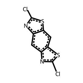 Clc1nc2cc3nc(Cl)sc3cc2s1